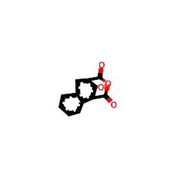 O=C1OC(=O)c2c(O)c1cc1ccccc21